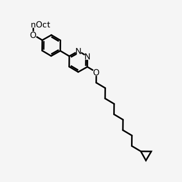 CCCCCCCCOc1ccc(-c2ccc(OCCCCCCCCCC3CC3)nn2)cc1